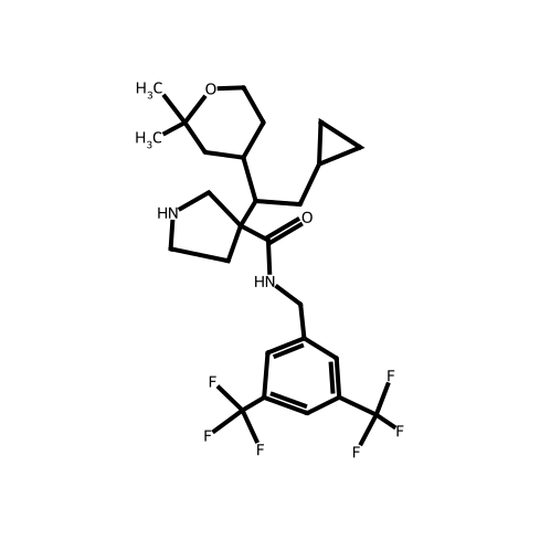 CC1(C)CC(C(CC2CC2)C2(C(=O)NCc3cc(C(F)(F)F)cc(C(F)(F)F)c3)CCNC2)CCO1